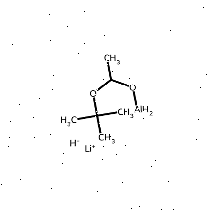 CC([O][AlH2])OC(C)(C)C.[H-].[Li+]